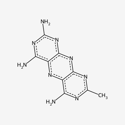 Cc1nc(N)c2nc3c(N)nc(N)nc3nc2n1